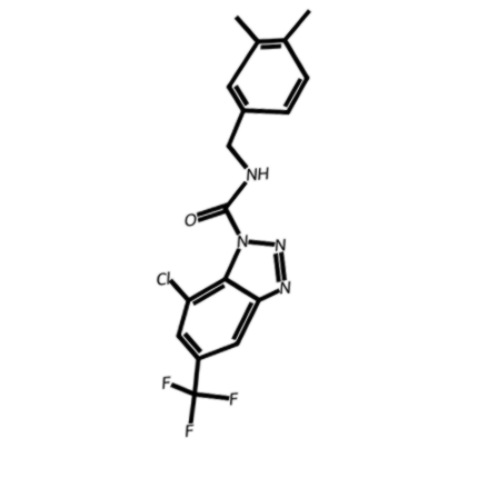 Cc1ccc(CNC(=O)n2nnc3cc(C(F)(F)F)cc(Cl)c32)cc1C